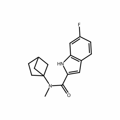 CN(C(=O)c1cc2ccc(F)cc2[nH]1)C12CCC(C1)C2